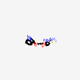 NC(=S)Nc1cccc(OCCCCCOc2ccnc3ccccc23)c1